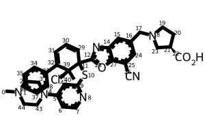 CN1CCN(c2ccnc(SC3(c4nc5cc(CN6CC[C@@H](C(=O)O)C6)cc(C#N)c5o4)C=CC=C(c4ccccc4)C3(C)Cl)c2)CC1